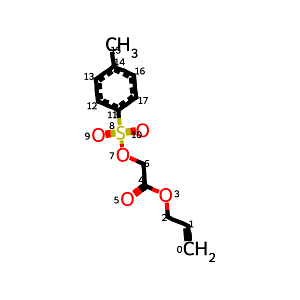 C=CCOC(=O)COS(=O)(=O)c1ccc(C)cc1